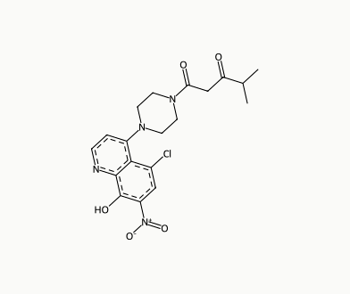 CC(C)C(=O)CC(=O)N1CCN(c2ccnc3c(O)c([N+](=O)[O-])cc(Cl)c23)CC1